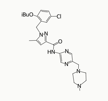 Cc1cc(C(=O)Nc2cnc(CN3CCN(C)CC3)cn2)nn1Cc1cc(Cl)ccc1OCC(C)C